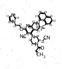 C=CC(=O)N1CCN(c2c(C#N)c(OCCn3ccnc3)nc3c2CCN(c2cccc4cccc(C)c24)C3)C[C@@H]1CC#N